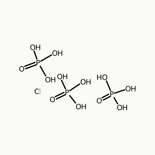 O=P(O)(O)O.O=P(O)(O)O.O=P(O)(O)O.[C]